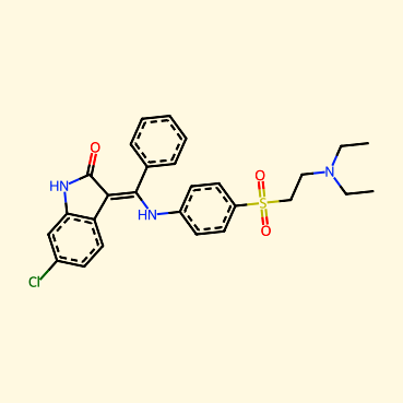 CCN(CC)CCS(=O)(=O)c1ccc(NC(=C2C(=O)Nc3cc(Cl)ccc32)c2ccccc2)cc1